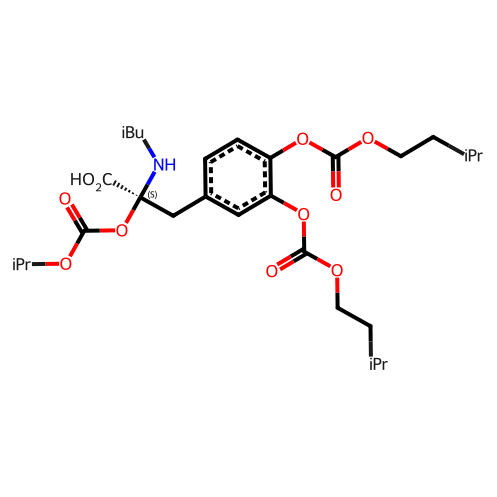 CCC(C)N[C@@](Cc1ccc(OC(=O)OCCC(C)C)c(OC(=O)OCCC(C)C)c1)(OC(=O)OC(C)C)C(=O)O